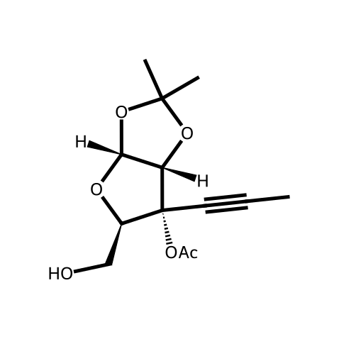 CC#C[C@@]1(OC(C)=O)[C@@H](CO)O[C@@H]2OC(C)(C)O[C@@H]21